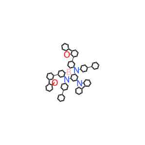 c1ccc(-c2ccc(N3c4cc(-c5cccc6c5oc5ccccc56)ccc4B4c5ccc(-c6cccc7c6oc6ccccc67)cc5N(c5ccc(-c6ccccc6)cc5)c5cc(-n6c7ccccc7c7ccccc76)cc3c54)cc2)cc1